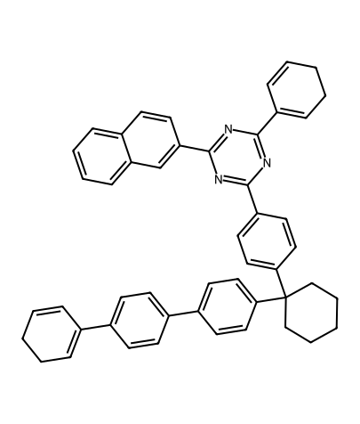 C1=CC(c2ccc(-c3ccc(C4(c5ccc(-c6nc(C7=CCCC=C7)nc(-c7ccc8ccccc8c7)n6)cc5)CCCCC4)cc3)cc2)=CCC1